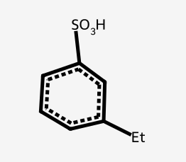 CCc1cccc(S(=O)(=O)O)c1